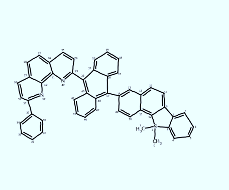 C[Si]1(C)c2ccccc2-c2ccc3cc(-c4c5ccccc5c(-c5ccc6ccc7ccc(-c8ccccc8)nc7c6n5)c5ccccc45)ccc3c21